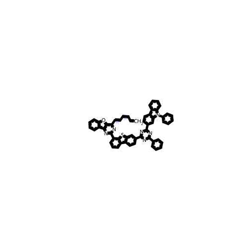 C=C/C=C\C=C\c1nc(-c2cccc3c2sc2cc(-c4nc(-c5ccccc5)nc(-c5ccc6c7ccccc7n(-c7ccccc7)c6c5)n4)ccc23)nc2c1oc1ccccc12